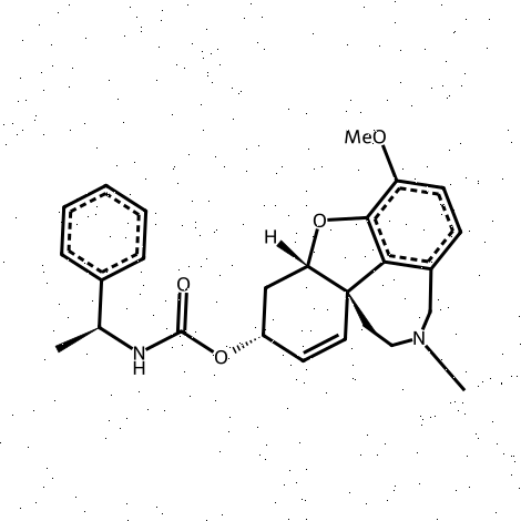 COc1ccc2c3c1O[C@H]1C[C@@H](OC(=O)N[C@@H](C)c4ccccc4)C=C[C@@]31CCN(C)C2